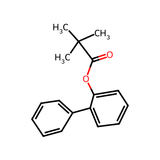 CC(C)(C)C(=O)Oc1ccccc1-c1ccccc1